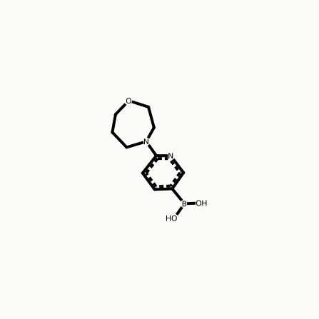 OB(O)c1ccc(N2CCCOCC2)nc1